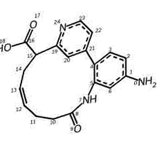 Nc1ccc2c(c1)NC(=O)CC/C=C\CC(C(=O)O)c1cc-2ccn1